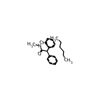 CCCCCC.CN(C)C(=O)C(c1ccccc1)c1ccccc1